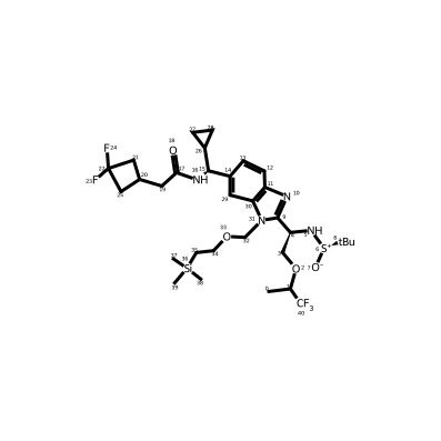 CC(OC[C@H](N[S@+]([O-])C(C)(C)C)c1nc2ccc([C@H](NC(=O)CC3CC(F)(F)C3)C3CC3)cc2n1COCC[Si](C)(C)C)C(F)(F)F